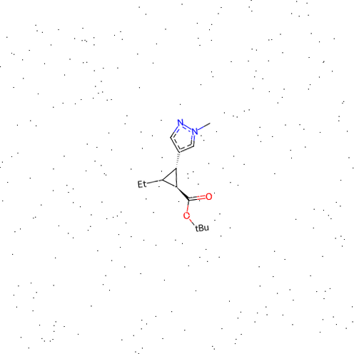 CCC1[C@H](C(=O)OC(C)(C)C)[C@H]1c1cnn(C)c1